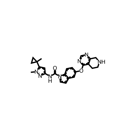 Cn1nc(NC(=O)n2ccc3cc(Oc4ncnc5c4CCNC5)ccc32)cc1C1(C)CC1